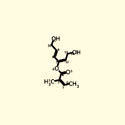 CC=C(C)C(=O)OC(C=CCO)=CCO